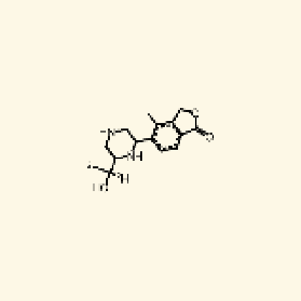 [2H]C([2H])(O)C1CNCC(c2ccc3c(c2C)COC3=O)N1